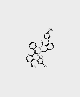 Cc1noc(-c2c(N)ccnc2N[C@@H](C)c2cc3cccc(-c4cnn(C)c4)c3c(=O)n2-c2ccccc2)n1